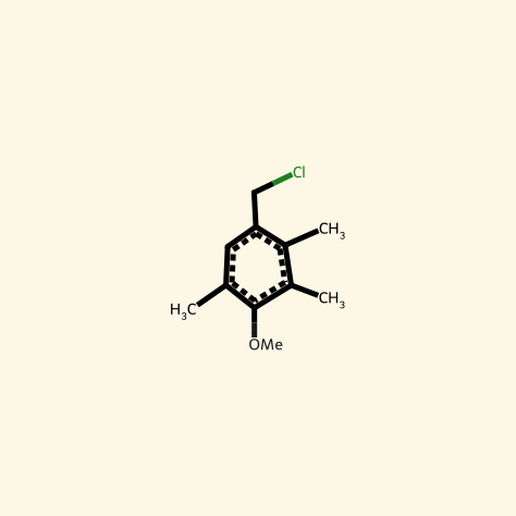 COc1c(C)cc(CCl)c(C)c1C